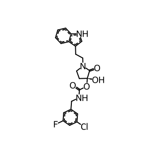 O=C(NCc1cc(F)cc(Cl)c1)O[C@]1(O)CCN(CCc2c[nH]c3ccccc23)C1=O